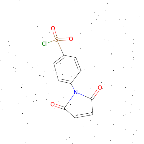 O=C1C=CC(=O)N1c1ccc(S(=O)(=O)Cl)cc1